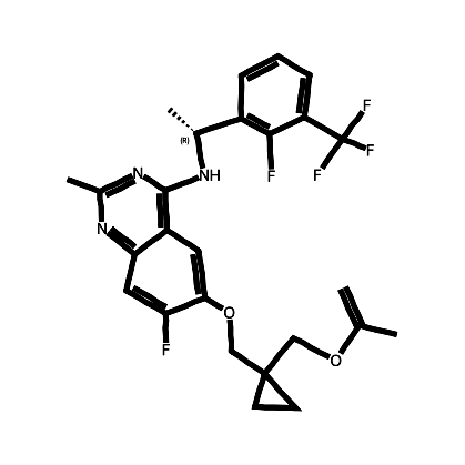 C=C(C)OCC1(COc2cc3c(N[C@H](C)c4cccc(C(F)(F)F)c4F)nc(C)nc3cc2F)CC1